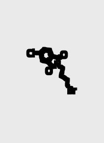 O=C1c2ccc(Cl)cc2C(=O)N1CCCCBr